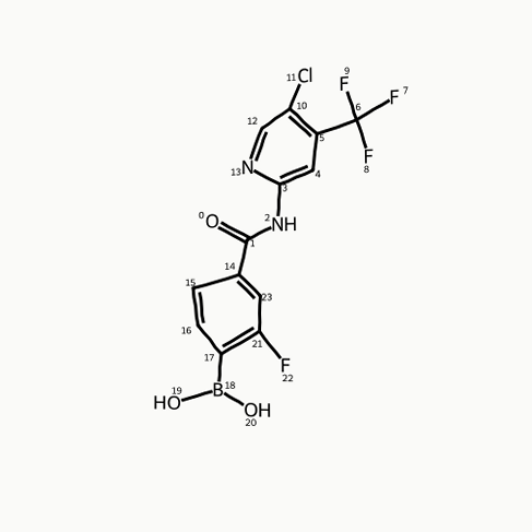 O=C(Nc1cc(C(F)(F)F)c(Cl)cn1)c1ccc(B(O)O)c(F)c1